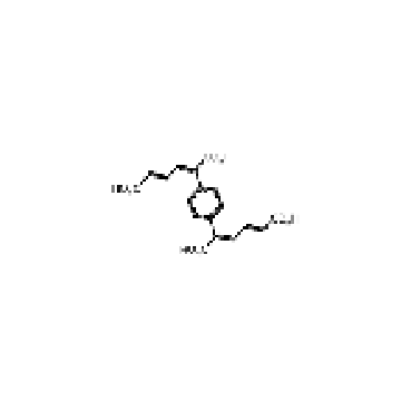 O=C(O)/C=C/C=C(/C(=O)O)c1ccc(/C(=C\C=C\C(=O)O)C(=O)O)cc1